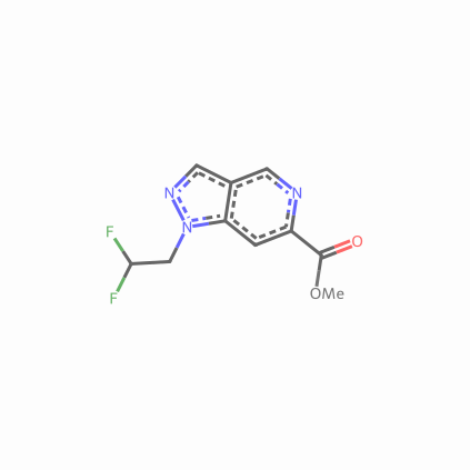 COC(=O)c1cc2c(cn1)cnn2CC(F)F